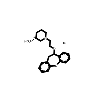 Cl.O=C(O)[C@@H]1CCCN(CCOC2Cc3ccccc3Oc3ccccc32)C1